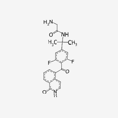 CC(C)(NC(=O)CN)c1cc(F)c(C(=O)c2cccc3c(=O)[nH]ccc23)c(F)c1